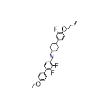 C=CCCOc1ccc(C2CCC(/C=C/c3ccc(-c4ccc(OCC)cc4)c(F)c3F)CC2)cc1F